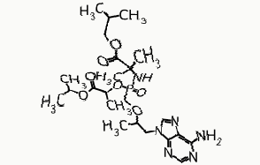 CC(C)COC(=O)C(C)(C)NP(=O)(COC(C)Cn1cnc2c(N)ncnc21)OC(C)C(=O)OC(C)C